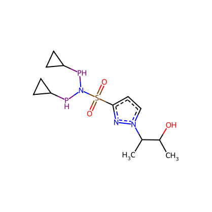 CC(O)C(C)n1ccc(S(=O)(=O)N(PC2CC2)PC2CC2)n1